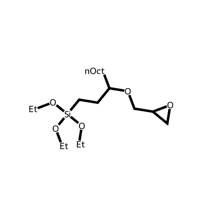 CCCCCCCCC(CC[Si](OCC)(OCC)OCC)OCC1CO1